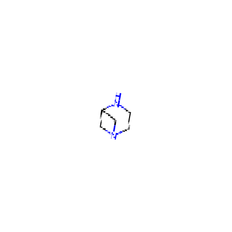 C1CN2CC(C2)N1